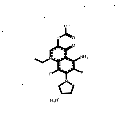 CCn1cc(OC(=O)O)c(=O)c2c(N)c(F)c(N3CC[C@H](N)C3)c(F)c21